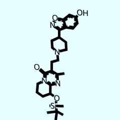 Cc1nc2n(c(=O)c1CCN1CCC(c3noc4cc(O)ccc34)CC1)CCCC2O[Si](C)(C)C(C)(C)C